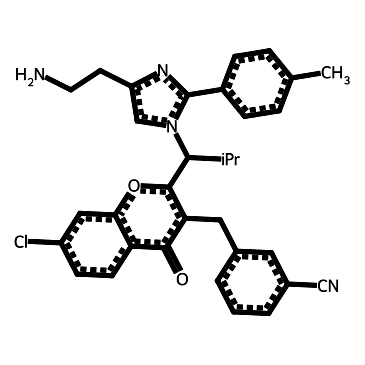 Cc1ccc(-c2nc(CCN)cn2C(c2oc3cc(Cl)ccc3c(=O)c2Cc2cccc(C#N)c2)C(C)C)cc1